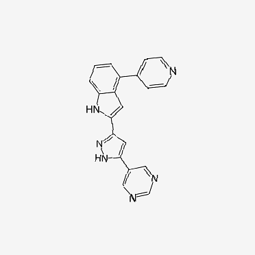 c1cc(-c2ccncc2)c2cc(-c3cc(-c4cncnc4)[nH]n3)[nH]c2c1